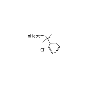 CCCCCCCC[N+](C)(C)c1ccccc1.[Cl-]